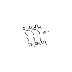 CCCCCCC(=O)[O-].CCCCCCC(=O)[O-].CCCCCCC(=O)[O-].[Al+3]